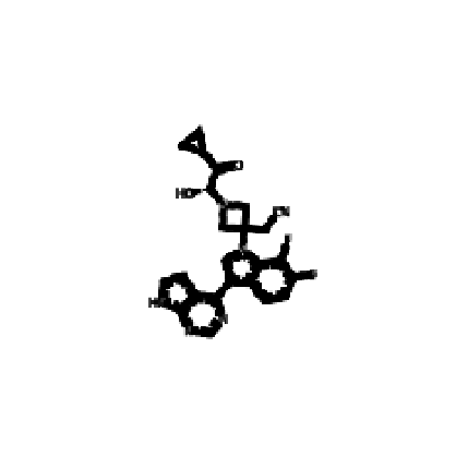 N#CCC1(n2cc(-c3ncnc4[nH]ccc34)c3ccc(F)c(F)c32)CN([C@H](O)C(=O)C2CC2)C1